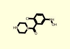 O=C(c1cc(NO)ccc1Cl)N1CCNCC1